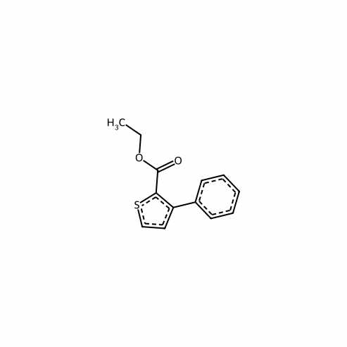 CCOC(=O)c1sccc1-c1ccccc1